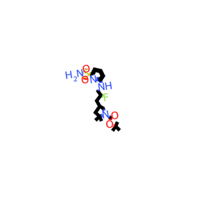 CC(C)(C)OC(=O)N1CC(CC(F)CNc2cccc(S(N)(=O)=O)n2)CC1(C)C